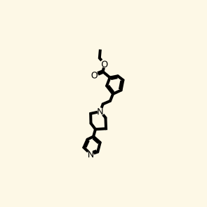 CCOC(=O)c1cccc(CCN2CCC(c3ccncc3)CC2)c1